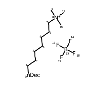 CCCCCCCCCCCCCCCCC[N+](C)(C)C.F[B-](F)(F)F